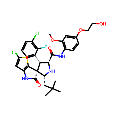 COc1cc(OCCO)ccc1NC(=O)[C@H]1N[C@H](CC(C)(C)C)[C@]2(C(=O)Nc3cc(Cl)sc32)[C@@H]1c1cccc(Cl)c1F